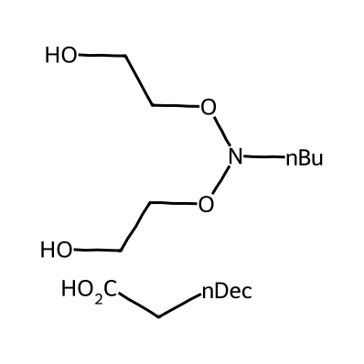 CCCCCCCCCCCC(=O)O.CCCCN(OCCO)OCCO